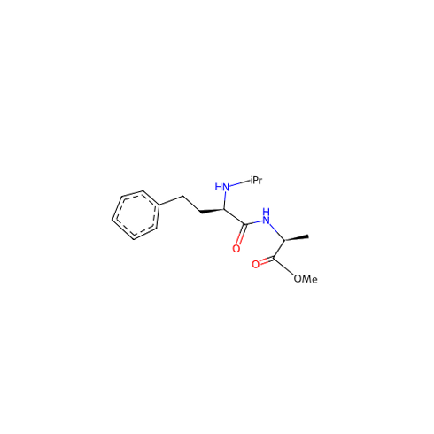 COC(=O)[C@H](C)NC(=O)[C@@H](CCc1ccccc1)NC(C)C